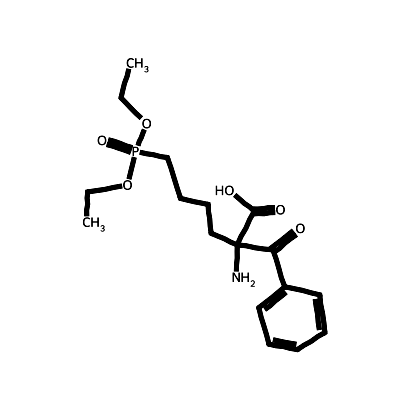 CCOP(=O)(CCCCC(N)(C(=O)O)C(=O)c1ccccc1)OCC